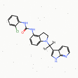 [2H]C([2H])(c1c[nH]c2ncccc12)N1CCc2c(NC(=O)Nc3ccccc3Cl)cccc21